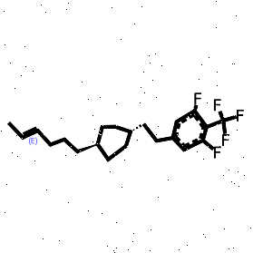 C/C=C/CCC[C@H]1CC[C@H](CCc2cc(F)c(C(F)(F)F)c(F)c2)CC1